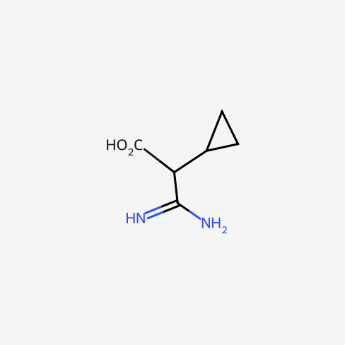 N=C(N)C(C(=O)O)C1CC1